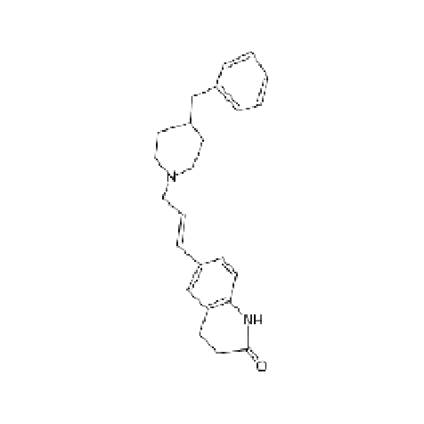 O=C1CCc2cc(C=CCN3CCC(Cc4ccccc4)CC3)ccc2N1